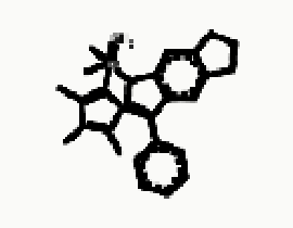 CC1=C(C)C(C)[C]([Zr]([CH3])([CH3])(=[SiH2])[CH]2C=C(c3ccccc3)c3cc4c(cc32)CCC4)=C1C